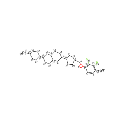 CCCc1ccc(OCC2CCC(C3CCC4CC(C5CCC(CCC)CC5)CCC4C3)CC2)c(F)c1F